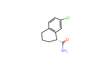 NC(=O)[C@@H]1CCCc2ccc(Cl)cc21